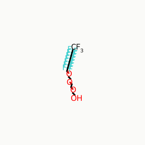 OCCOCCOCCOCC(F)(F)C(F)(F)C(F)(F)C(F)(F)C(F)(F)C(F)(F)C(F)(F)C(F)(F)F